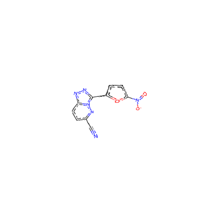 N#Cc1ccc2nnc(-c3ccc([N+](=O)[O-])o3)n2n1